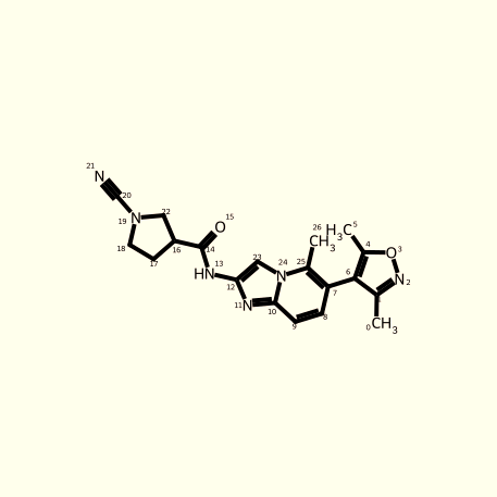 Cc1noc(C)c1-c1ccc2nc(NC(=O)C3CCN(C#N)C3)cn2c1C